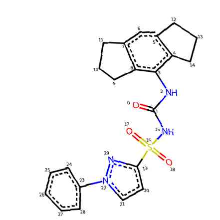 O=C(Nc1c2c(cc3c1CCC3)CCC2)NS(=O)(=O)c1ccn(-c2ccccc2)n1